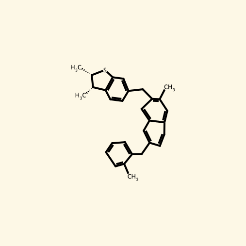 Cc1ccccc1Cc1ccc2cc(C)c(Cc3ccc4c(c3)S[C@@H](C)[C@H]4C)cc2c1